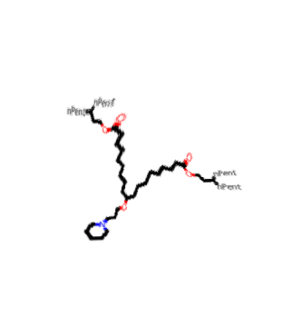 CCCCCC(CCCCC)CCOC(=O)CCCCCCCCC(CCCCCCCCC(=O)OCCC(CCCCC)CCCCC)OCCCN1CCCCC1